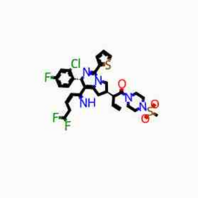 C=CC(C(=O)N1CCN(S(C)(=O)=O)CC1)[C@H]1CC2=C(C(=N)/C=C\CC(F)F)[C@H](c3ccc(F)cc3Cl)N=C(c3cccs3)N2C1